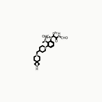 CCCC(C(=O)NC=O)N(C=O)c1cccc(N2CCC(CN3CCC4(CC3)CNC4)CC2)c1N(C)C(C)C